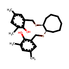 Cc1cc(C)c(O)c(CS[C@H]2CCCCCC[C@@H]2SCc2cc(C)cc(C)c2O)c1